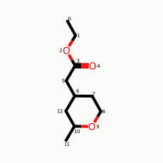 CCOC(=O)CC1CCOC(C)C1